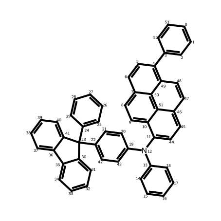 c1ccc(-c2ccc3ccc4c(N(c5ccccc5)c5ccc(C6(c7ccccc7)c7ccccc7-c7ccccc76)cc5)ccc5ccc2c3c54)cc1